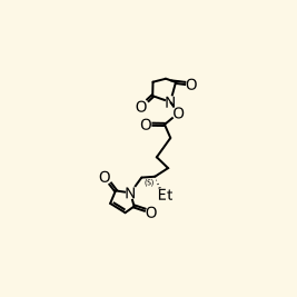 CC[C@@H](CCCC(=O)ON1C(=O)CCC1=O)CN1C(=O)C=CC1=O